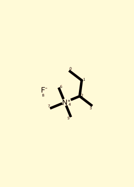 CCC(C)[N+](C)(C)C.[F-]